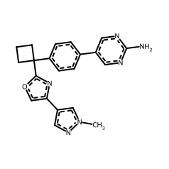 Cn1cc(-c2coc(C3(c4ccc(-c5cnc(N)nc5)cc4)CCC3)n2)cn1